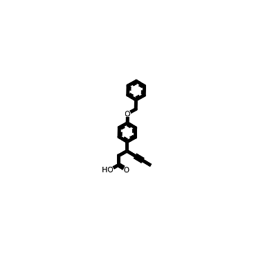 CC#CC(CC(=O)O)c1ccc(OCc2ccccc2)cc1